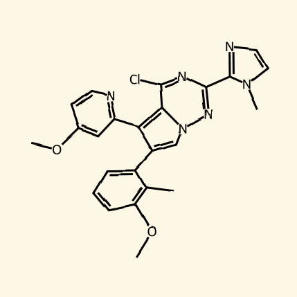 COc1ccnc(-c2c(-c3cccc(OC)c3C)cn3nc(-c4nccn4C)nc(Cl)c23)c1